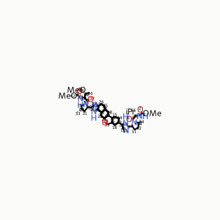 COC(=O)N[C@H](C(=O)N1C(c2ncc(-c3ccc4c(c3)COc3cc5c(ccc6nc(C7C[C@H](C)CN7C(=O)[C@@H](NC(=O)OC)[C@H](C)OC)[nH]c65)cc3-4)[nH]2)CC[C@@H]1C)C(C)C